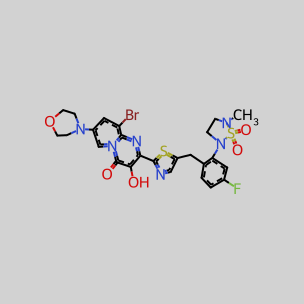 CN1CCN(c2cc(F)ccc2Cc2cnc(-c3nc4c(Br)cc(N5CCOCC5)cn4c(=O)c3O)s2)S1(=O)=O